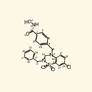 O=C(NO)c1ccc(CN2CN(Cc3ccccc3)S(=O)(=O)c3cc(Cl)ccc32)cc1